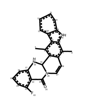 Cc1c2c(c(C)c3c1[nH]c1ccccc13)C1Nc3cccc(F)c3C(=O)N1C=C2